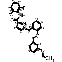 CCOc1cccc(COc2ccccc2Cn2ccc(C(=O)Nc3c(F)cccc3F)n2)c1